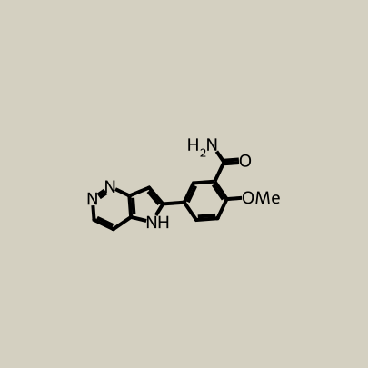 COc1ccc(-c2cc3nnccc3[nH]2)cc1C(N)=O